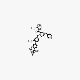 Cc1cc(CN2CCN(Cc3ccncc3)CC2C(=O)NC(C)C)ccc1-c1ccc(C(O)(C(F)(F)F)C(F)(F)F)cc1